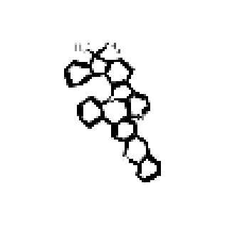 CC1(C)c2ccccc2-c2c1ccc1c3ccncc3n(-c3ccccc3-c3ccc4c(c3)Oc3ccccc3C4)c21